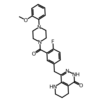 COc1ccccc1N1CCN(C(=O)c2cc(Cc3n[nH]c(=O)c4c3NCCC4)ccc2F)CC1